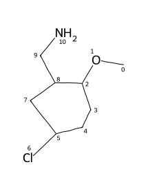 COC1CCC(Cl)CC1CN